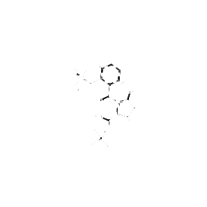 CC(C)(C)OC(=O)[C@@H]1CCC(=O)N1C(=O)c1ccccc1CP(C)(C)=O